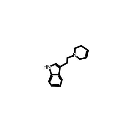 C1=CCN(CCc2c[nH]c3ccccc23)CC1